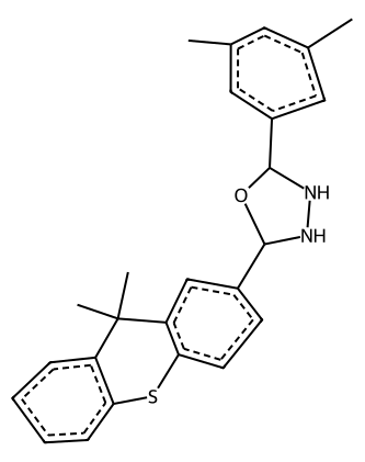 Cc1cc(C)cc(C2NNC(c3ccc4c(c3)C(C)(C)c3ccccc3S4)O2)c1